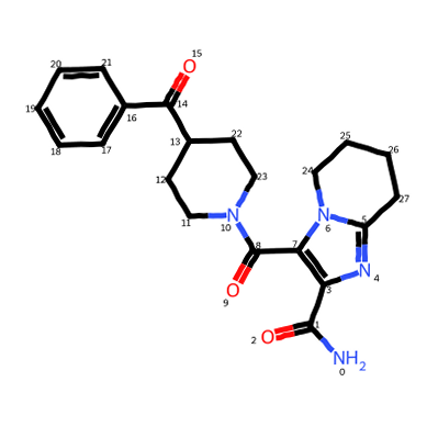 NC(=O)c1nc2n(c1C(=O)N1CCC(C(=O)c3ccccc3)CC1)CCCC2